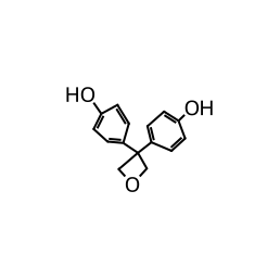 Oc1ccc(C2(c3ccc(O)cc3)COC2)cc1